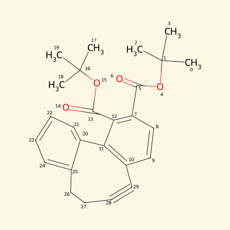 CC(C)(C)OC(=O)c1ccc2c(c1C(=O)OC(C)(C)C)-c1ccccc1CCC#C2